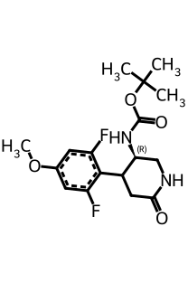 COc1cc(F)c(C2CC(=O)NC[C@@H]2NC(=O)OC(C)(C)C)c(F)c1